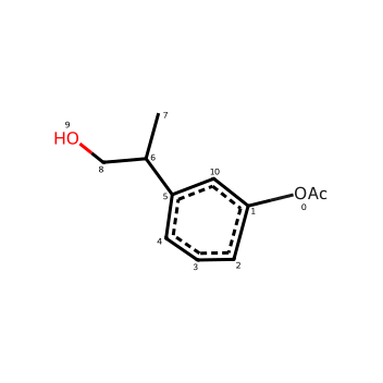 CC(=O)Oc1cccc(C(C)CO)c1